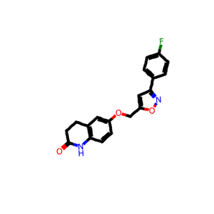 O=C1CCc2cc(OCc3cc(-c4ccc(F)cc4)no3)ccc2N1